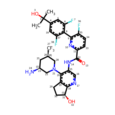 CC(C)(O)c1cc(F)c(-c2nc(C(=O)Nc3cnc4c(c3N3C[C@@H](N)C[C@@H](C(F)(F)F)C3)CC[C@@H]4O)ccc2F)c(F)c1